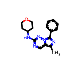 Cc1nc(-c2ccccc2)n2nc(NC3CCOCC3)ncc12